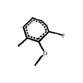 COc1c(C)[c]ccc1F